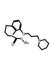 CC(C)(C)OC(=O)N1CCCc2cccc(OCCCN3CCCCC3)c21